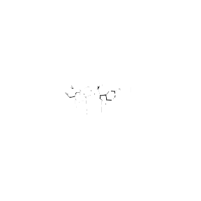 CCNc1cccnc1N1CCN(C(=O)c2c[nH]c3ccc(CC)cc23)CC1